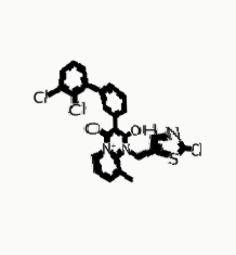 Cc1ccc[n+]2c(=O)c(-c3cccc(-c4cccc(Cl)c4Cl)c3)c(O)n(Cc3cnc(Cl)s3)c12